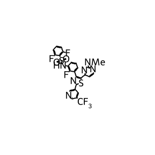 CNc1nccc(-c2sc(-c3cncc(C(F)(F)F)c3)nc2-c2cccc(NS(=O)(=O)c3c(F)cccc3F)c2F)n1